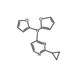 c1coc(N(c2ccnc(C3CC3)n2)c2ccco2)c1